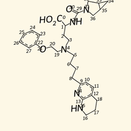 O=C(O)C(CCN(CCCCc1ccc2c(n1)NCCC2)CCOc1ccccc1)NC(=O)N1CC2CC2C1